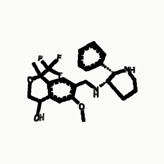 COc1cc2c(cc1CN[C@H]1CCCN[C@H]1c1ccccc1)C(C)(C(F)(F)F)OCC2O